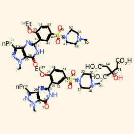 CCCc1nn(C)c2c(=O)[nH]c(-c3cc(S(=O)(=O)N4CCN(C)CC4)ccc3OCC)nc12.CCCc1nn(C)c2c(=O)[nH]c(-c3cc(S(=O)(=O)N4CCN(C)CC4)ccc3OCC)nc12.O=C(O)CC(O)(CC(=O)O)C(=O)O